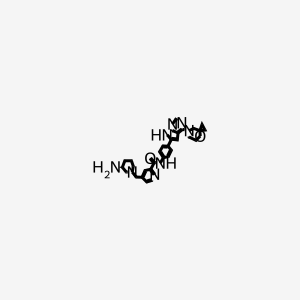 N[C@@H]1CCCN(Cc2ccnc(C(=O)Nc3ccc(-c4cc5c(N6CCOC7(CC7)C6)ncnc5[nH]4)cc3)c2)C1